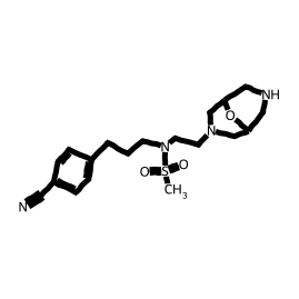 CS(=O)(=O)N(CCCc1ccc(C#N)cc1)CCN1CC2CNCC(C1)O2